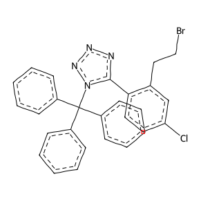 Clc1ccc(-c2nnnn2C(c2ccccc2)(c2ccccc2)c2ccccc2)c(CCBr)c1